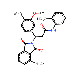 CCOc1cc(C(CC(=O)Nc2ccccc2C(=O)O)N2C(=O)c3cccc(NC(C)=O)c3C2=O)ccc1OC